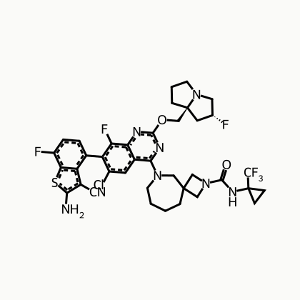 N#Cc1c(N)sc2c(F)ccc(-c3c(Cl)cc4c(N5CCCCC6(CN(C(=O)NC7(C(F)(F)F)CC7)C6)C5)nc(OC[C@@]56CCCN5C[C@H](F)C6)nc4c3F)c12